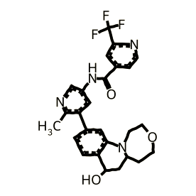 Cc1ncc(NC(=O)c2ccnc(C(F)(F)F)c2)cc1-c1ccc2c(c1)N1CCOCCC1CC2O